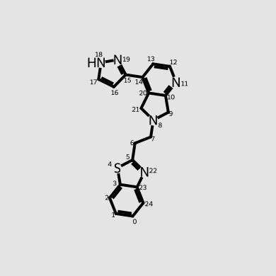 c1ccc2sc(CCN3Cc4nccc(-c5cc[nH]n5)c4C3)nc2c1